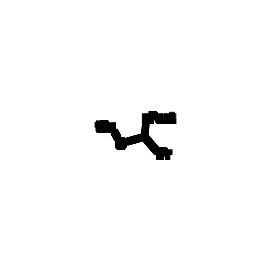 [CH2]C(C)C(CCCCC)OC(C)(C)C